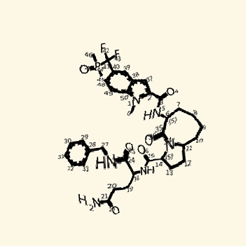 Cn1c(C(=O)N[C@H]2CCCCC3CC[C@@H](C(=O)NC(CCC(N)=O)C(=O)NCc4ccccc4)N3C2=O)cc2cc(C(F)(F)P(C)(C)=O)ccc21